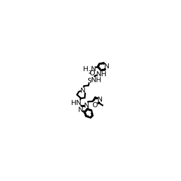 Cc1ncc(Cn2c(NC3CCN(CCSNC(=O)Nc4cnccc4N)CC3)nc3ccccc32)o1